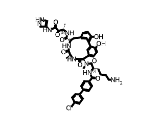 C[C@@H]1NC(=O)[C@@H](N(C)C(=O)[C@H](CCCCN)NC(=O)c2ccc(-c3ccc(Cl)cc3)cc2)c2ccc(O)c(c2)-c2cc(ccc2O)C[C@@H](C(=O)N[C@@H](C)C(=O)C(=O)Nc2cn[nH]c2)NC1=O